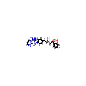 C[C@@H](c1nc2ccc(CCNC[C@H](O)c3ccccc3)cc2[nH]1)n1cccnc1=O